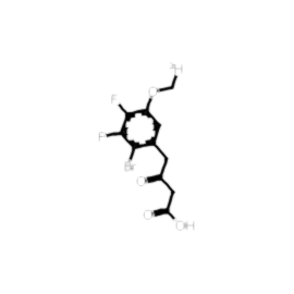 [2H]COc1cc(CC(=O)CC(=O)O)c(Br)c(F)c1F